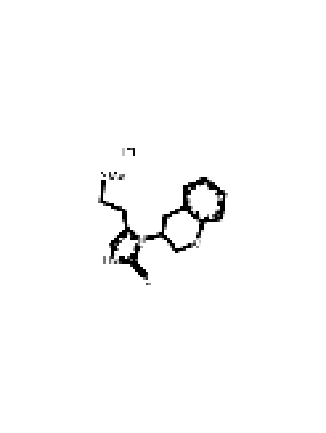 CNCCc1c[nH]c(=S)n1C1COc2ccccc2C1.Cl